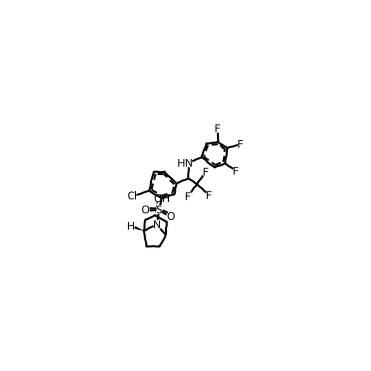 O=S(=O)(c1cc(C(Nc2cc(F)c(F)c(F)c2)C(F)(F)F)ccc1Cl)N1C2CC[C@@H]1C[C@H](O)C2